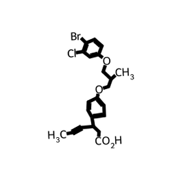 CC#CC(CC(=O)O)c1ccc(OCC(C)COc2ccc(Br)c(Cl)c2)cc1